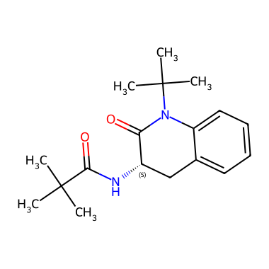 CC(C)(C)C(=O)N[C@H]1Cc2ccccc2N(C(C)(C)C)C1=O